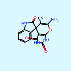 N#CC1=C(N)Oc2[nH]c(=O)[nH]c(=O)c2C12C(=O)Nc1ccccc12